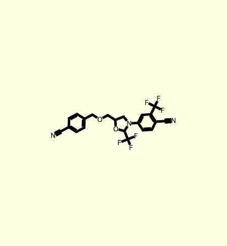 N#Cc1ccc(COCC2CN(c3ccc(C#N)c(C(F)(F)F)c3)C(C(F)(F)F)O2)cc1